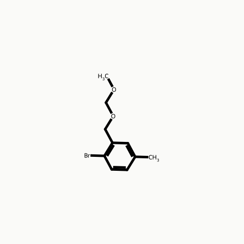 COCOCc1cc(C)ccc1Br